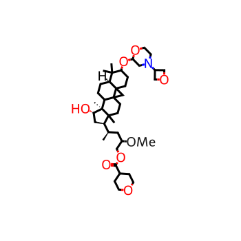 COC(COC(=O)C1CCOCC1)C[C@@H](C)[C@H]1C[C@H](O)[C@@]2(C)C3CC[C@H]4C(C)(C)C(OC5CN(C6COC6)CCO5)CCC45CC35CCC12C